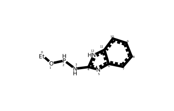 CCOPNc1nc2ccccc2[nH]1